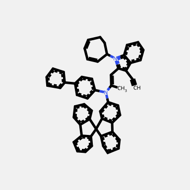 C#Cc1c(/C=C(\C)N(c2ccc(-c3ccccc3)cc2)c2ccc3c(c2)C2(c4ccccc4-c4ccccc42)c2ccccc2-3)n(C2C=CC=CCC2)c2ccccc12